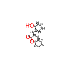 O=C1Oc2ccccc2CC1=Cc1ccccc1O